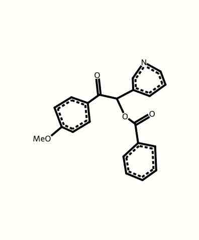 COc1ccc(C(=O)C(OC(=O)c2ccccc2)c2cccnc2)cc1